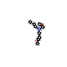 c1ccc(-c2ccc3cc(-c4nc(-c5ccc(-c6ccc7cc8c(cc7c6)oc6ccccc68)cc5)nc(-c5cccc6oc7ccccc7c56)n4)ccc3c2)cc1